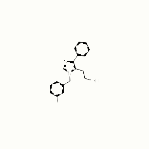 OCCc1c(-c2ccccc2)ncn1Cc1cccc(O)c1